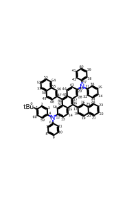 CC(C)(C)c1ccc(N(c2ccccc2)c2ccc3c(-c4ccc5ccccc5c4)c4cc(N(c5ccccc5)c5ccccc5)ccc4c(-c4ccc5ccccc5c4)c3c2)cc1